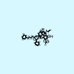 C=CCN1CC[C@]23c4c5c(O)cc(OC(C)=O)c4O[C@H]2[C@H](N(CCCCCCc2ccccc2)CC(=O)c2ccccc2)CC[C@H]3[C@H]1C5